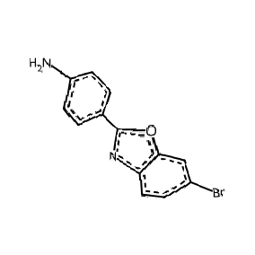 Nc1ccc(-c2nc3ccc(Br)cc3o2)cc1